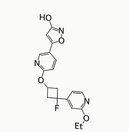 CCOc1cc(C2(F)CC(Oc3ccc(-c4cc(O)no4)cn3)C2)ccn1